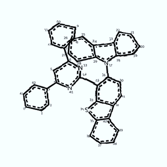 c1ccc(-c2cc(-c3ccccc3)nc(-c3c(-n4c5ccccc5c5ccccc54)ccc4c3sc3ccccc34)n2)cc1